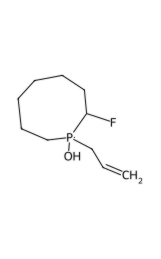 C=CC[P]1(O)CCCCCCC1F